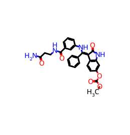 COC(=O)Oc1ccc2c(c1)NC(=O)/C2=C(\Nc1cccc(C(=O)NCCC(N)=O)c1)c1ccccc1